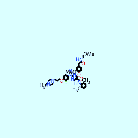 COCCNC(=O)Cc1ccc(Oc2nc(Nc3ccc(OCCCN4CCN(C)CC4)c(F)c3)ncc2C(=O)Nc2c(C)cccc2C)c(OC)c1